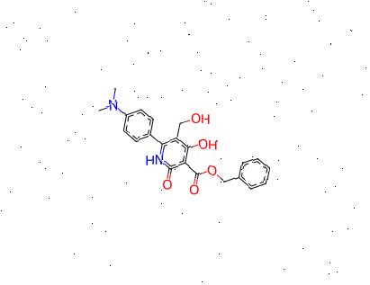 CN(C)c1ccc(-c2[nH]c(=O)c(C(=O)OCc3ccccc3)c(O)c2CO)cc1